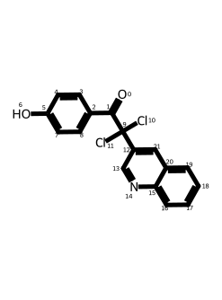 O=C(c1ccc(O)cc1)C(Cl)(Cl)c1cnc2ccccc2c1